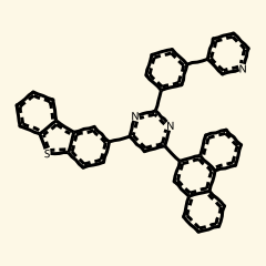 c1cncc(-c2cccc(-c3nc(-c4ccc5sc6ccccc6c5c4)cc(-c4cc5ccccc5c5ccccc45)n3)c2)c1